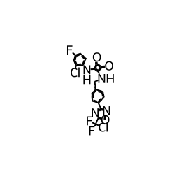 O=c1c(NCc2ccc(-c3noc(C(F)(F)Cl)n3)cc2)c(Nc2ccc(F)cc2Cl)c1=O